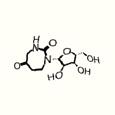 O=C1CCN([C@@H]2O[C@H](CO)[C@@H](O)[C@H]2O)C(=O)NC1